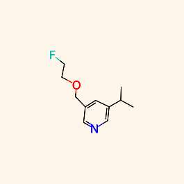 CC(C)c1cncc(COCCF)c1